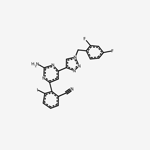 N#Cc1cccc(I)c1-c1cc(-c2cn(Cc3ccc(F)cc3F)nn2)nc(N)n1